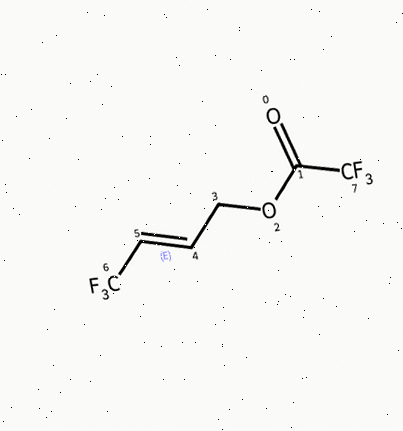 O=C(OC/C=C/C(F)(F)F)C(F)(F)F